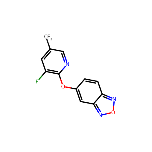 Fc1cc(C(F)(F)F)cnc1Oc1ccc2nonc2c1